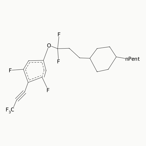 CCCCCC1CCC(CCC(F)(F)Oc2cc(F)c(C#CC(F)(F)F)c(F)c2)CC1